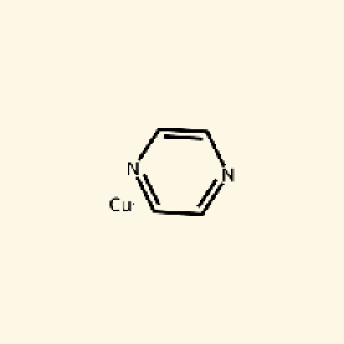 [Cu].c1cnccn1